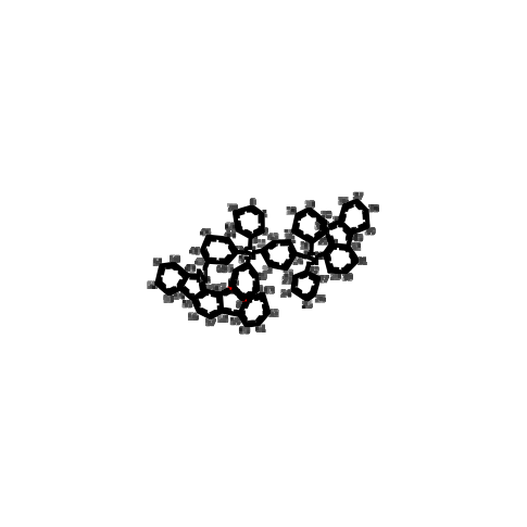 c1ccc([Si](c2ccccc2)(c2ccc([Si](c3ccccc3)(c3ccccc3)c3cccc4c3sc3ccccc34)cc2)c2cccc(-n3c4ccccc4c4ccc5c6ccccc6sc5c43)c2)cc1